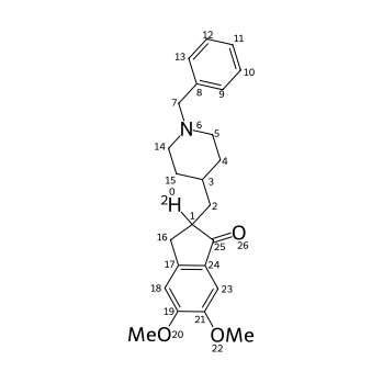 [2H]C1(CC2CCN(Cc3ccccc3)CC2)Cc2cc(OC)c(OC)cc2C1=O